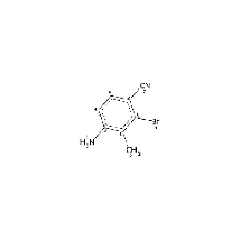 Cc1c(N)ccc(C#N)c1Br